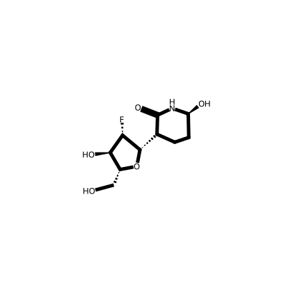 O=C1N[C@@H](O)CCC1[C@@H]1O[C@H](CO)[C@@H](O)[C@@H]1F